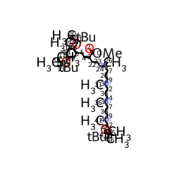 COC(=O)C(=CCc1cc(O[Si](C)(C)C(C)(C)C)ccc1O[Si](C)(C)C(C)(C)C)CC/C=C(\C)CC/C=C(\C)CC/C=C(\C)CC/C=C(\C)CO[Si](C)(C)C(C)(C)C